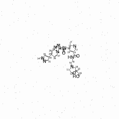 Cc1ncc(C(=O)NCCN2CCOC(C)(CO)C2)cc1NC(=O)c1nnc2cc(-c3cnn(C)c3)ccn12